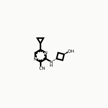 N#Cc1ncc(C2CC2)nc1N[C@H]1C[C@H](O)C1